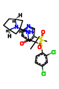 CC(C)(Sc1ccc(Cl)cc1Cl)C(=O)N[C@H]1C[C@H]2CC[C@@H](C1)N2c1ccc(S(C)(=O)=O)cn1